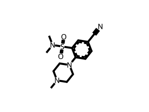 CN1CCN(c2ccc(C#N)cc2S(=O)(=O)N(C)C)CC1